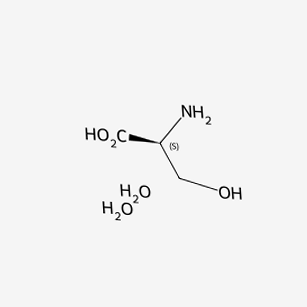 N[C@@H](CO)C(=O)O.O.O